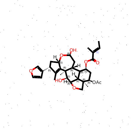 C/C=C(\C)C(=O)O[C@H]1C[C@@H](OC(C)=O)[C@@]2(C)CO[C@H]3[C@@H](O)[C@@]4(C)C5=C(C)[C@H](c6ccoc6)C[C@@H]5O[C@@H](O)C[C@@H]4[C@]1(C)[C@@H]32